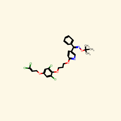 CC(C)(C)ON=C(c1ccccc1)c1ccc(OCCCOc2c(Cl)cc(OCC=C(Cl)Cl)cc2Cl)nc1